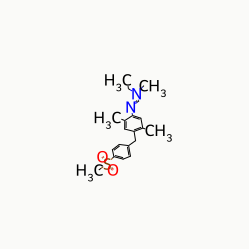 CCN(C)C=Nc1cc(C)c(Cc2ccc(S(C)(=O)=O)cc2)cc1C